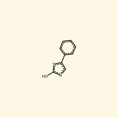 Oc1ncc(-c2ccccc2)s1